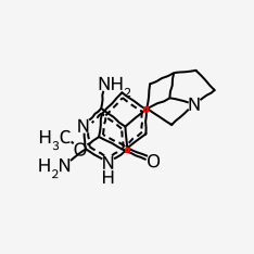 COc1ccc(C2C3CCN2CC(c2c(N)nc(N)[nH]c2=O)C3)cc1